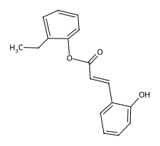 CCc1ccccc1OC(=O)C=Cc1ccccc1O